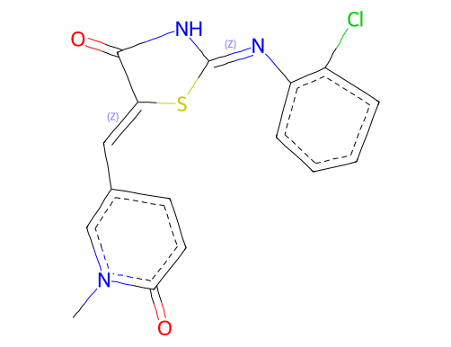 Cn1cc(/C=C2\S/C(=N\c3ccccc3Cl)NC2=O)ccc1=O